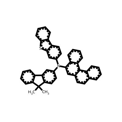 CC1(C)c2ccccc2-c2cc(N(c3ccc4c(c3)sc3ccccc34)c3cc4ccc5ccccc5c4c4ccccc34)ccc21